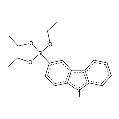 CCO[Si](OCC)(OCC)c1ccc2[nH]c3ccccc3c2c1